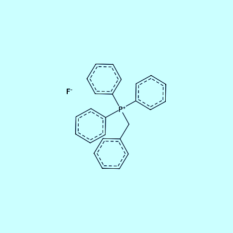 [F-].c1ccc(C[P+](c2ccccc2)(c2ccccc2)c2ccccc2)cc1